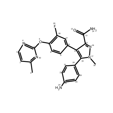 Cc1ccnc(Oc2ccc(-c3c(C(N)=O)nn(C)c3-c3ccc(N)cc3)cc2F)n1